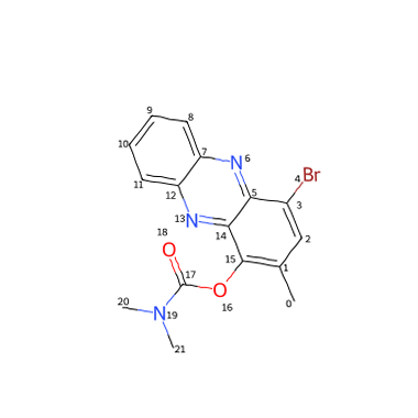 Cc1cc(Br)c2nc3ccccc3nc2c1OC(=O)N(C)C